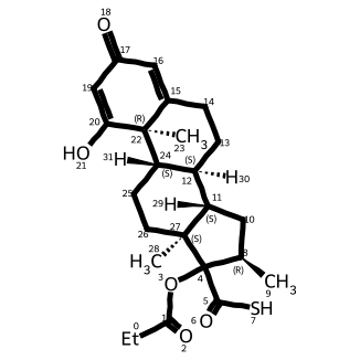 CCC(=O)OC1(C(=O)S)[C@H](C)C[C@H]2[C@@H]3CCC4=CC(=O)C=C(O)[C@]4(C)[C@H]3CC[C@@]21C